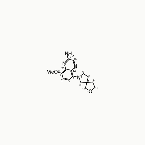 COc1ccc(N2CCC3(CCOC3)C2)c2ncc(N)nc12